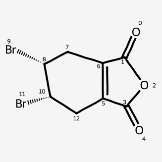 O=C1OC(=O)C2=C1C[C@@H](Br)[C@@H](Br)C2